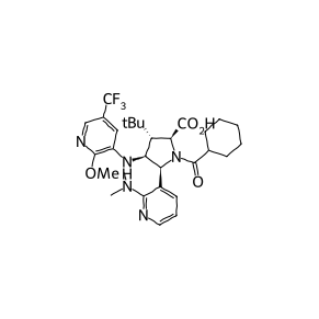 COc1ncc(C(F)(F)F)cc1N[C@H]1[C@H](C(C)(C)C)[C@@H](C(=O)O)N(C(=O)C2CCCCC2)[C@H]1c1cccnc1N(C)C